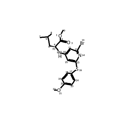 COC(=O)[C@H](CC(C)C)Nc1cc(Br)nc(Sc2ccc(OC)cc2)c1